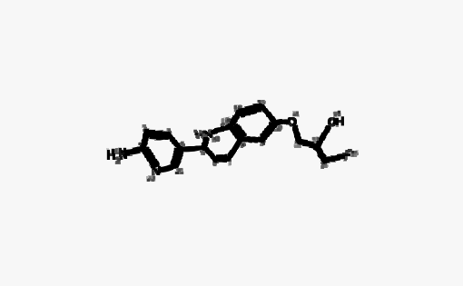 Nc1ccc(C2C=Cc3cc(OCC(O)CF)ccc3N2)cn1